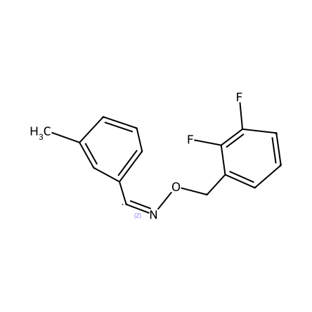 Cc1cccc(/[C]=N\OCc2cccc(F)c2F)c1